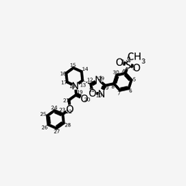 CS(=O)(=O)c1cccc(-c2noc([C@H]3CCCCN3C(=O)COc3ccccc3)n2)c1